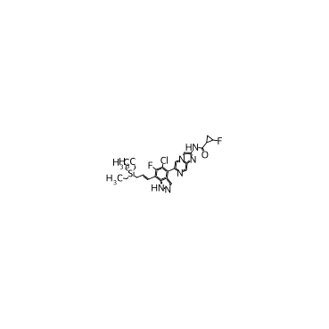 CC[Si](CC)(CC)C/C=C/c1c(F)c(Cl)c(-c2cn3cc(NC(=O)C4CC4F)nc3cn2)c2cn[nH]c12